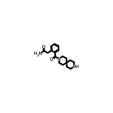 NC(=O)Cc1ccccc1C(=O)N1CCC2(CCNCC2)CC1